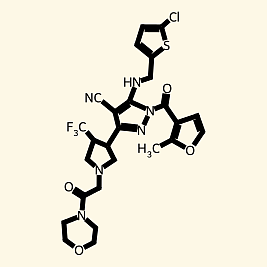 Cc1occc1C(=O)n1nc(C2CN(CC(=O)N3CCOCC3)CC2C(F)(F)F)c(C#N)c1NCc1ccc(Cl)s1